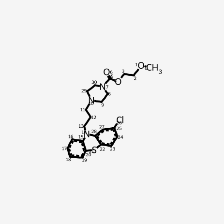 COCCOC(=O)N1CCN(CCCN2c3ccccc3Sc3ccc(Cl)cc32)CC1